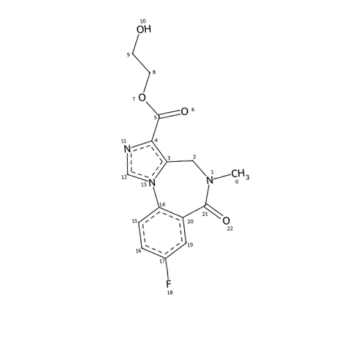 CN1Cc2c(C(=O)OCCO)ncn2-c2ccc(F)cc2C1=O